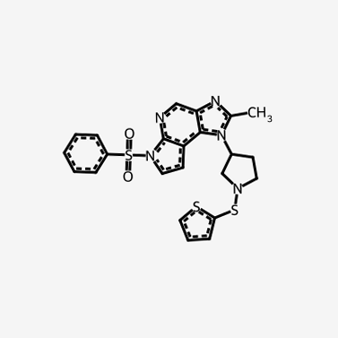 Cc1nc2cnc3c(ccn3S(=O)(=O)c3ccccc3)c2n1C1CCN(Sc2cccs2)C1